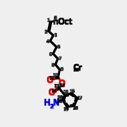 CCCCCCCC/C=C\CCCCCCCC(=O)OC(=O)c1ccccc1N.[Cr]